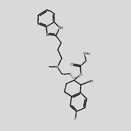 COCC(=O)O[C@]1(CCN(C)CCCc2nc3ccccc3[nH]2)CCc2cc(F)ccc2C1C(C)C